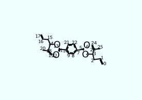 C=CCC(OC(=O)c1ccc(C(=O)OC(CC=C)C(=C)C)cc1)C(=C)C